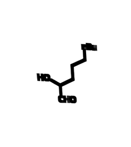 CCCCCCCC(O)C=O